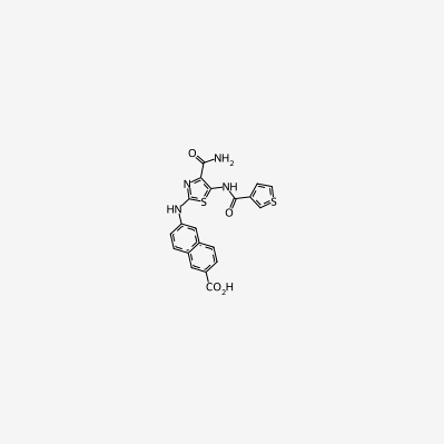 NC(=O)c1nc(Nc2ccc3cc(C(=O)O)ccc3c2)sc1NC(=O)c1ccsc1